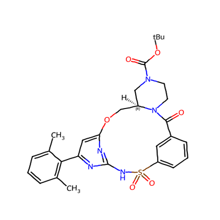 Cc1cccc(C)c1-c1cc2nc(n1)NS(=O)(=O)c1cccc(c1)C(=O)N1CCN(C(=O)OC(C)(C)C)C[C@@H]1CO2